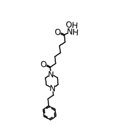 O=C(CCCCCC(=O)N1CCN(CCc2ccccc2)CC1)NO